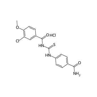 COc1ccc(C(=O)NC(=S)Nc2ccc(C(N)=O)cc2)cc1Cl.Cl